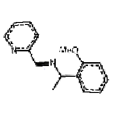 COc1ccccc1C(C)/N=C/c1ccccn1